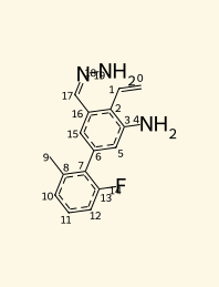 C=Cc1c(N)cc(-c2c(C)cccc2F)cc1/C=N\N